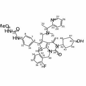 C=C1c2c(sc(-c3ccc(NC(=O)NOC)cc3)c2CN(C)C(C)c2ccccn2)N(Cc2c(F)cccc2F)C(=O)N1C1CCC(O)CC1